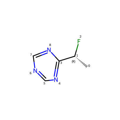 C[C@@H](F)c1ncncn1